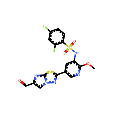 COc1ncc(-c2nn3cc(C=O)nc3s2)cc1NS(=O)(=O)c1ccc(F)cc1F